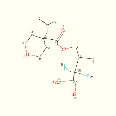 CC(COC(=O)C1(C(C)C)CCOCC1)C(F)(F)C(=O)O